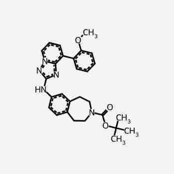 COc1ccccc1-c1cccn2nc(Nc3ccc4c(c3)CCN(C(=O)OC(C)(C)C)CC4)nc12